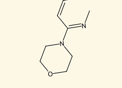 C/C=C\C(=N/C)N1CCOCC1